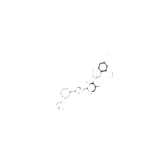 CC(Nc1nc(N2CC(C3CCCN(CCO)C3)C2)ncc1F)c1ccc(Cl)cc1Cl